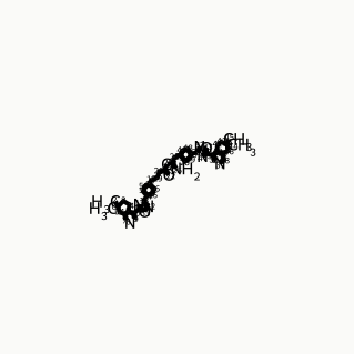 CC1(C)CCc2c(cncc2-c2nc(-c3ccc(CCCC(=O)OC(N)Cc4ccc(-c5noc(-c6cncc7c6CCC(C)(C)C7)n5)cc4)cc3)no2)C1